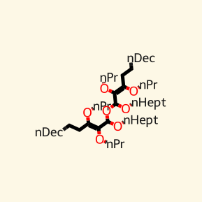 CCCCCCCCCCCCC(OCCC)=C(OCCC)C(OCCCCCCC)OC(OCCCCCCC)C(OCCC)=C(CCCCCCCCCCCC)OCCC